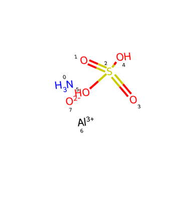 N.O=S(=O)(O)O.[Al+3].[O-2]